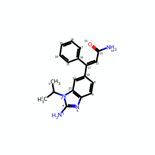 CC(C)n1c(N)nc2ccc(/C(=C/C(N)=O)c3ccccc3)cc21